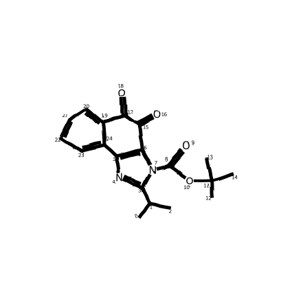 CC(C)c1nc2c(n1C(=O)OC(C)(C)C)C(=O)C(=O)c1ccccc1-2